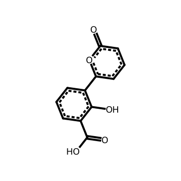 O=C(O)c1cccc(-c2cccc(=O)o2)c1O